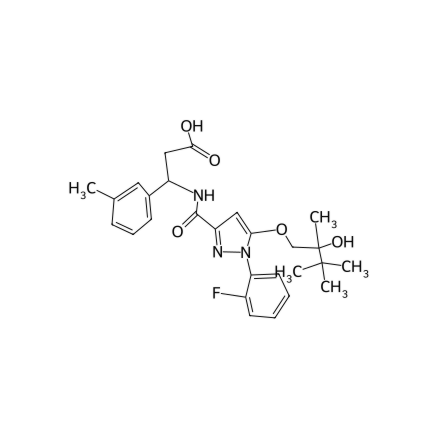 Cc1cccc(C(CC(=O)O)NC(=O)c2cc(OCC(C)(O)C(C)(C)C)n(-c3ccccc3F)n2)c1